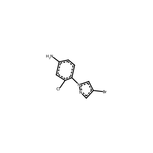 Nc1ccc(-n2cc(Br)cn2)c(Cl)c1